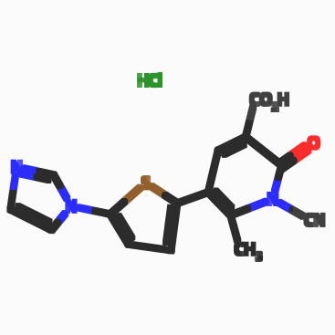 Cc1c(-c2ccc(-n3ccnc3)s2)cc(C(=O)O)c(=O)n1C#N.Cl